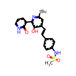 CC(C)(C)c1cc(/C=C/c2ccc(NS(C)(=O)=O)cc2)c(O)c(-c2ccc[nH]c2=O)n1